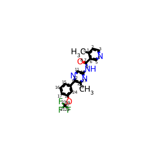 Cc1ccncc1C(=O)Nc1cnc(-c2cccc(OC(F)(F)F)c2)c(C)n1